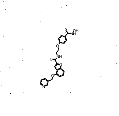 O=C(NCCOc1ccc(C(=S)NO)cc1)c1cc2c(OCc3cccnc3)cccc2o1